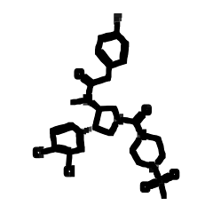 CN(C(=O)Cc1ccc(F)cc1)[C@H]1CN(C(=O)N2CCN(S(C)(=O)=O)CC2)C[C@@H]1c1ccc(Cl)c(Cl)c1